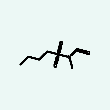 CCCCS(=O)(=O)N(C)C=O